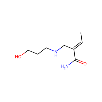 C/C=C(\CNCCCO)C(N)=O